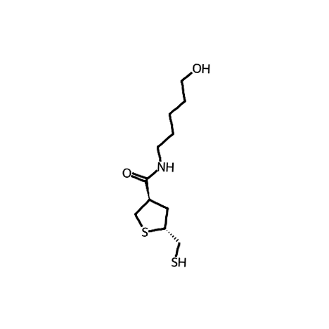 O=C(NCCCCCO)[C@@H]1CS[C@@H](CS)C1